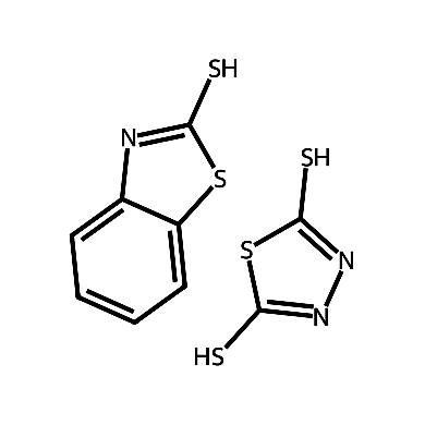 Sc1nc2ccccc2s1.Sc1nnc(S)s1